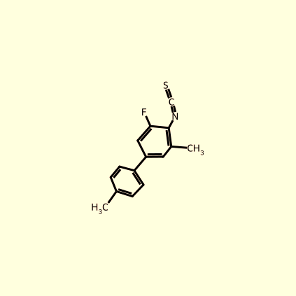 Cc1ccc(-c2cc(C)c(N=C=S)c(F)c2)cc1